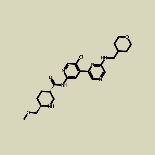 COC[C@H]1CC[C@H](C(=O)Nc2cc(-c3cncc(NCC4CCOCC4)n3)c(Cl)cn2)CN1